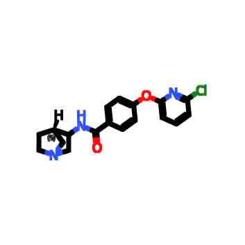 O=C(NC1CN2CC[C@H]1C2)c1ccc(Oc2cccc(Cl)n2)cc1